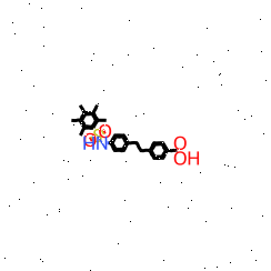 Cc1c(C)c(C)c(S(=O)(=O)Nc2ccc(CCc3ccc(C(=O)O)cc3)cc2)c(C)c1C